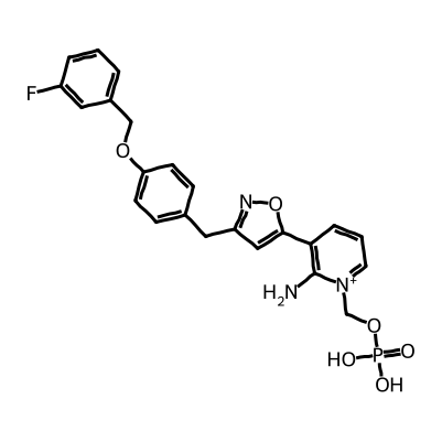 Nc1c(-c2cc(Cc3ccc(OCc4cccc(F)c4)cc3)no2)ccc[n+]1COP(=O)(O)O